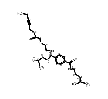 CCC#CCNC(=O)COCCNC(SSC(C)C)c1ccc(C(=O)NCCNC(C)C)cc1